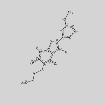 CC(=O)OCCCn1c(=O)c2c(cc(-c3cccc(OC(F)(F)F)c3)n2C)n(C)c1=O